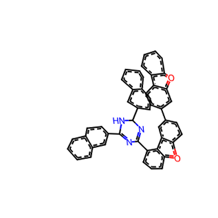 c1ccc2cc(C3=NC(c4cccc5oc6ccc(-c7ccc8c(c7)oc7ccccc78)cc6c45)=NC(c4ccc5ccccc5c4)N3)ccc2c1